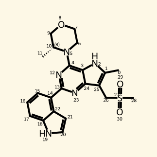 Cc1[nH]c2c(N3CCOC[C@H]3C)nc(-c3cccc4[nH]ccc34)nc2c1CS(C)(=O)=O